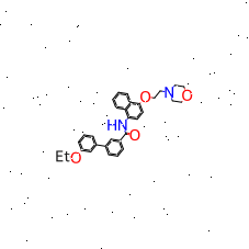 CCOc1cccc(-c2cccc(C(=O)Nc3ccc(OCCN4CCOCC4)c4ccccc34)c2)c1